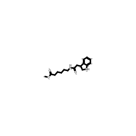 COC(=O)CCCCCNC(=O)CC1CNc2ccccc21